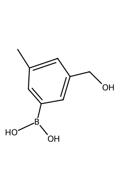 Cc1cc(CO)cc(B(O)O)c1